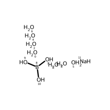 O.O.O.O.O.O.O.OB(O)O.[NaH]